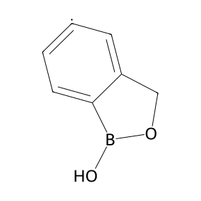 OB1OCc2c[c]ccc21